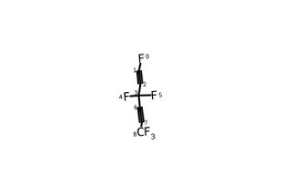 FC#CC(F)(F)C#CC(F)(F)F